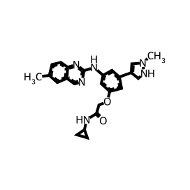 Cc1ccc2nc(Nc3cc(OCC(=O)NC4CC4)cc(C4=CN(C)NC4)c3)ncc2c1